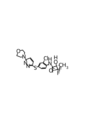 C[C@@](O)(C(=O)Nc1ccc(Sc2ccc(N3CCOCC3)nn2)cc1Cl)C(F)(F)F